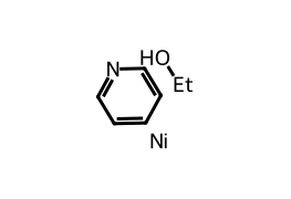 CCO.[Ni].c1ccncc1